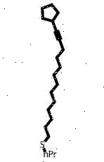 CCCSCCCCCCCCCCCC#CC1CCCC1